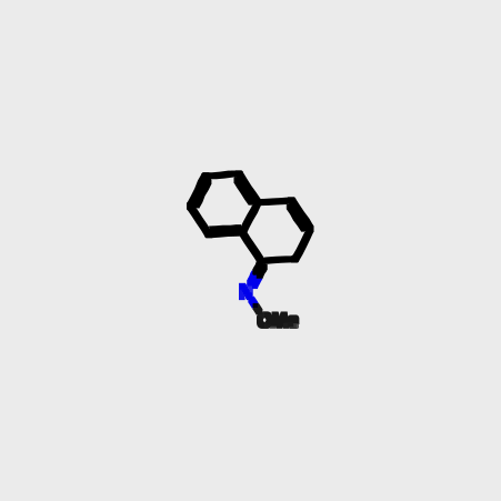 CON=C1CC=Cc2ccccc21